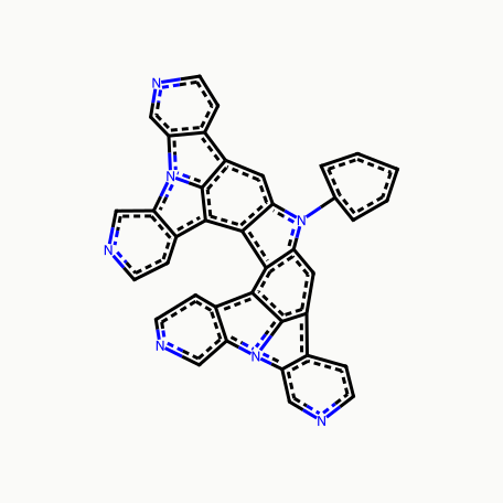 c1ccc(-n2c3cc4c5ccncc5n5c6cnccc6c(c3c3c6c7ccncc7n7c8cnccc8c(cc32)c67)c45)cc1